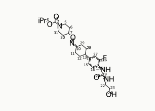 CC(C)OC(=O)N1CCC(ON=C2CCC(c3ccc(NC(=O)NCCO)c(F)c3)CC2)CC1